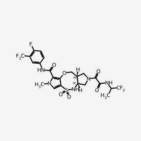 CC(NC(=O)C(=O)N1C[C@H]2COc3c(cn(C)c3C(=O)Nc3ccc(F)c(C(F)(F)F)c3)S(=O)(=O)N[C@H]2C1)C(F)(F)F